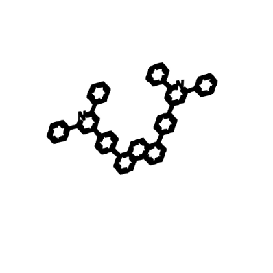 c1ccc(-c2cc(-c3ccc(-c4cccc5c4ccc4c(-c6ccc(-c7cc(-c8ccccc8)nc(-c8ccccc8)c7)cc6)cccc45)cc3)cc(-c3ccccc3)n2)cc1